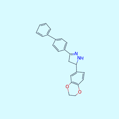 c1ccc(-c2ccc(C3=NNC(c4ccc5c(c4)OCCO5)C3)cc2)cc1